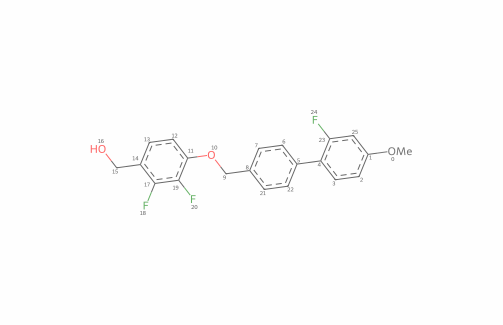 COc1ccc(-c2ccc(COc3ccc(CO)c(F)c3F)cc2)c(F)c1